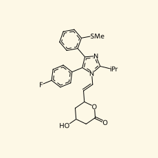 CSc1ccccc1-c1nc(C(C)C)n(C=CC2CC(O)CC(=O)O2)c1-c1ccc(F)cc1